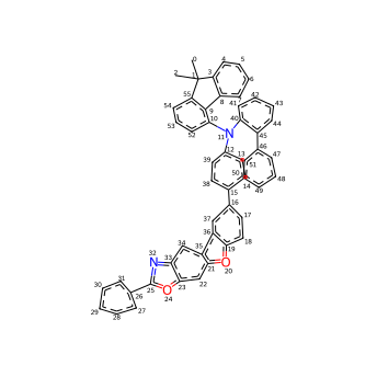 CC1(C)c2ccccc2-c2c(N(c3ccc(-c4ccc5oc6cc7oc(-c8ccccc8)nc7cc6c5c4)cc3)c3ccccc3-c3ccccc3)cccc21